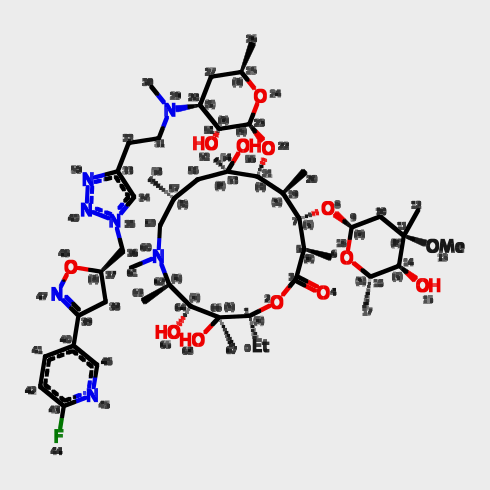 CC[C@H]1OC(=O)[C@H](C)[C@@H](O[C@H]2C[C@@](C)(OC)[C@@H](O)[C@H](C)O2)[C@H](C)[C@@H](O[C@@H]2O[C@H](C)C[C@H](N(C)CCc3cn(C[C@H]4CC(c5ccc(F)nc5)=NO4)nn3)[C@H]2O)[C@](C)(O)C[C@@H](C)CN(C)[C@H](C)[C@@H](O)[C@]1(C)O